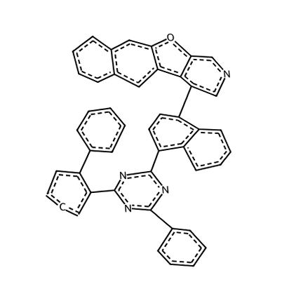 c1ccc(-c2nc(-c3ccccc3-c3ccccc3)nc(-c3ccc(-c4cncc5oc6cc7ccccc7cc6c45)c4ccccc34)n2)cc1